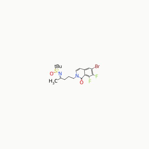 CC(CCCn1ccc2cc(Br)c(F)c(F)c2c1=O)=N[S@@+]([O-])C(C)(C)C